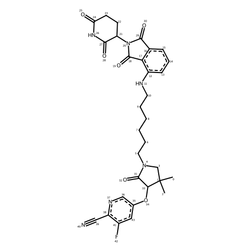 CC1(C)CN(CCCCCCNc2cccc3c2C(=O)N(C2CCC(=O)NC2=O)C3=O)C(=O)C1Oc1cnc(C#N)c(F)c1